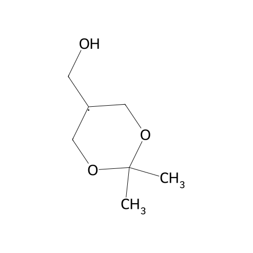 CC1(C)OC[C](CO)CO1